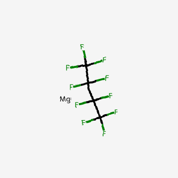 FC(F)(F)C(F)(F)C(F)(F)C(F)(F)F.[Mg]